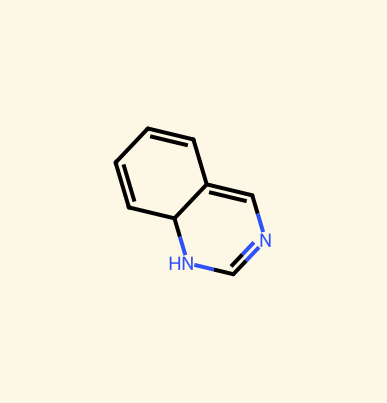 C1=CC2=CN=CNC2C=C1